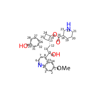 COc1ccc2nccc(C(O)CC[C@H]3C(OC(=O)C4CCCNC4)C[C@H]3c3ccc(O)cc3)c2c1